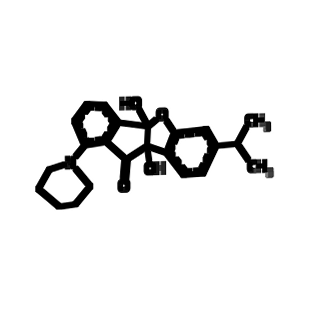 CC(C)c1ccc2c(c1)OC1(O)c3cccc(N4CCCCC4)c3C(=O)C21O